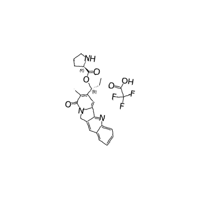 CC[C@@H](OC(=O)[C@H]1CCCN1)c1cc2n(c(=O)c1C)Cc1cc3ccccc3nc1-2.O=C(O)C(F)(F)F